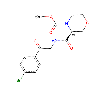 CC(C)(C)OC(=O)N1CCOC[C@H]1C(=O)NCC(=O)c1ccc(Br)cc1